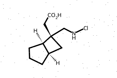 O=C(O)C[C@@]1(CNCl)C[C@H]2CCC[C@H]21